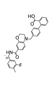 Cc1ccc([C@H](C)NC(=O)c2ccc3c(c2)OCCN3Cc2ccc(-c3ccccc3C(=O)O)cc2)cc1F